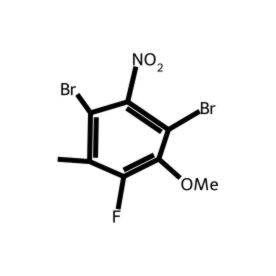 COc1c(F)c(C)c(Br)c([N+](=O)[O-])c1Br